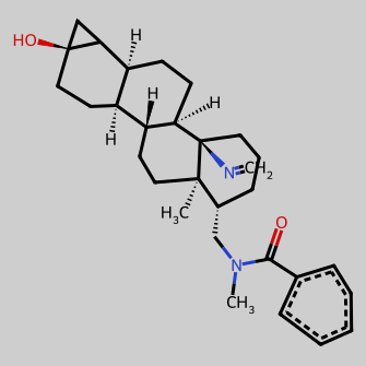 C=N[C@@]12CCC[C@H](CN(C)C(=O)c3ccccc3)[C@@]1(C)CC[C@@H]1[C@H]3CC[C@]4(O)CC4[C@H]3CC[C@H]12